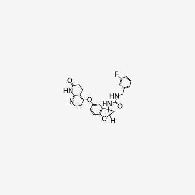 O=C1CCc2c(Oc3ccc4c(c3)C3(NC(=O)NCc5cccc(F)c5)C[C@@H]3O4)ccnc2N1